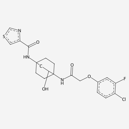 O=C(COc1ccc(Cl)c(F)c1)NC12CCC(NC(=O)c3cscn3)(CC1)CC2O